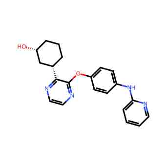 O[C@@H]1CCC[C@H](c2nccnc2Oc2ccc(Nc3ccccn3)cc2)C1